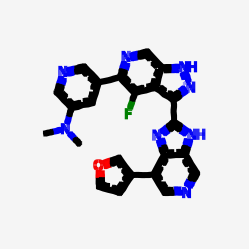 CN(C)c1cncc(-c2ncc3[nH]nc(-c4nc5c(-c6ccoc6)cncc5[nH]4)c3c2F)c1